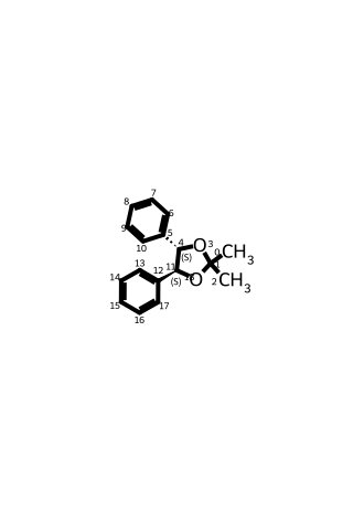 CC1(C)O[C@@H](c2ccccc2)[C@H](c2ccccc2)O1